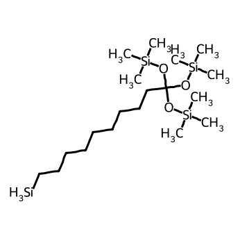 C[Si](C)(C)OC(CCCCCCCCC[SiH3])(O[Si](C)(C)C)O[Si](C)(C)C